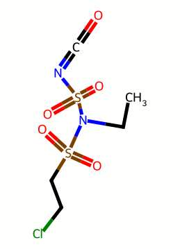 CCN(S(=O)(=O)CCCl)S(=O)(=O)N=C=O